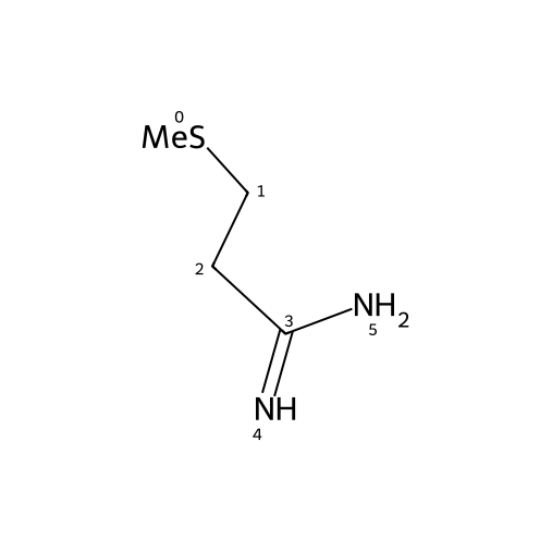 CSCCC(=N)N